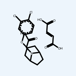 NC(=O)CN1C2CCC1CC(Oc1ccc(Cl)c(Cl)c1)C2.O=C(O)C=CC(=O)O